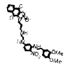 COc1ccc(CCNc2cc(NCCNCCCn3c4c(n[n+]3[O-])C(=O)c3ccccc3C4=O)ccc2[N+](=O)[O-])cc1OC